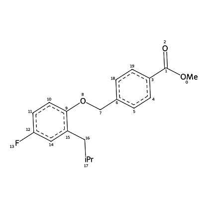 COC(=O)c1ccc(COc2ccc(F)cc2CC(C)C)cc1